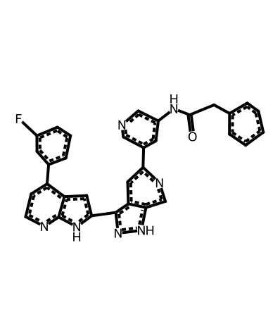 O=C(Cc1ccccc1)Nc1cncc(-c2cc3c(-c4cc5c(-c6cccc(F)c6)ccnc5[nH]4)n[nH]c3cn2)c1